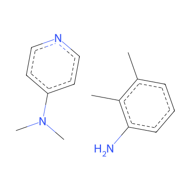 CN(C)c1ccncc1.Cc1cccc(N)c1C